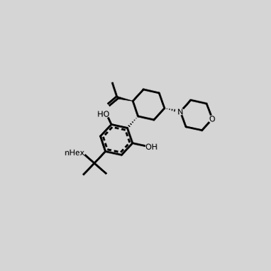 C=C(C)[C@H]1CC[C@H](N2CCOCC2)C[C@@H]1c1c(O)cc(C(C)(C)CCCCCC)cc1O